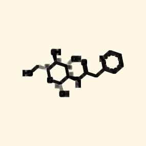 O=C(Cc1ccccn1)N[C@@H]1[C@@H](O)[C@H](O)[C@@H](CO)O[C@H]1O